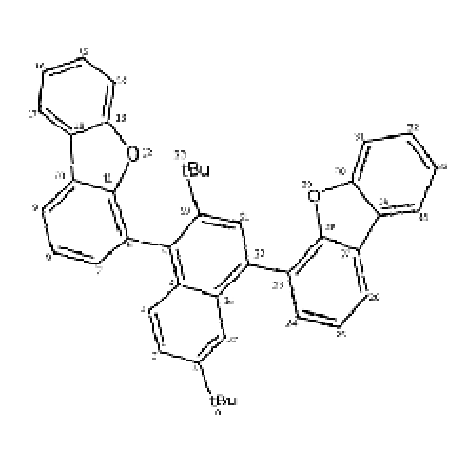 CC(C)(C)c1ccc2c(-c3cccc4c3oc3ccccc34)c(C(C)(C)C)cc(-c3cccc4c3oc3ccccc34)c2c1